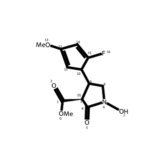 COC(=O)[C@@H]1C(=O)N(O)CC1C1C=C(OC)C=C1F